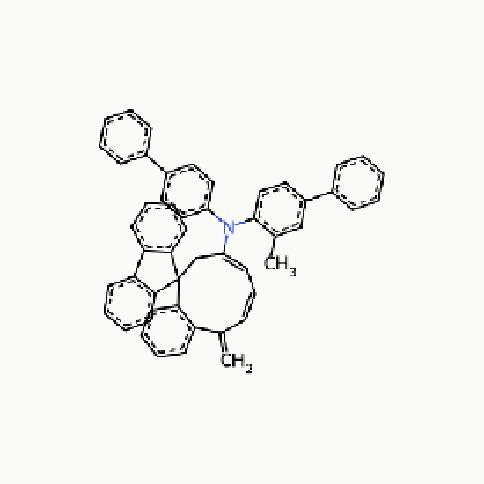 C=C1/C=C\C=C(\N(c2ccc(-c3ccccc3)cc2)c2ccc(-c3ccccc3)cc2C)CC2(c3ccccc31)c1ccccc1-c1ccccc12